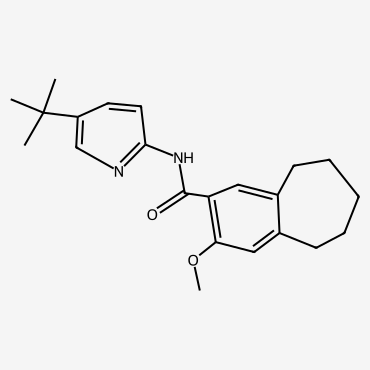 COc1cc2c(cc1C(=O)Nc1ccc(C(C)(C)C)cn1)CCCCC2